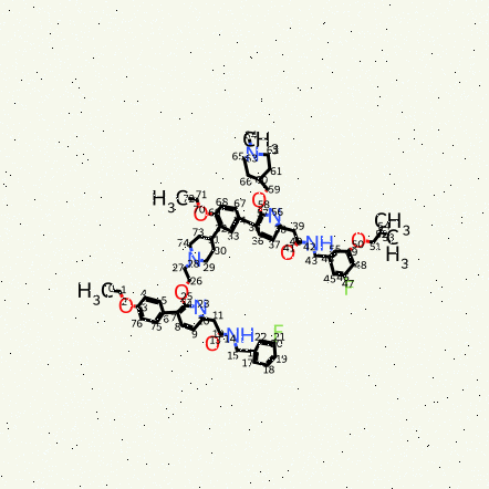 CCOc1ccc(-c2ccc(CC(=O)NCc3cccc(F)c3)nc2OCCN2CCC(c3cc(-c4ccc(CC(=O)NCc5cc(F)cc(OCC(C)C)c5)nc4OCC4CCN(C)CC4)ccc3OCC)CC2)cc1